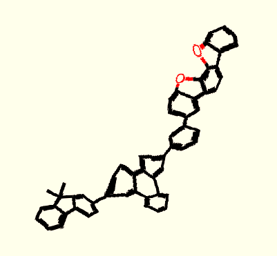 CC1(C)c2ccccc2-c2ccc(-c3ccc4c5ccc(-c6cccc(-c7ccc8oc9c(ccc%10c%11ccccc%11oc%109)c8c7)c6)cc5c5ccccc5c4c3)cc21